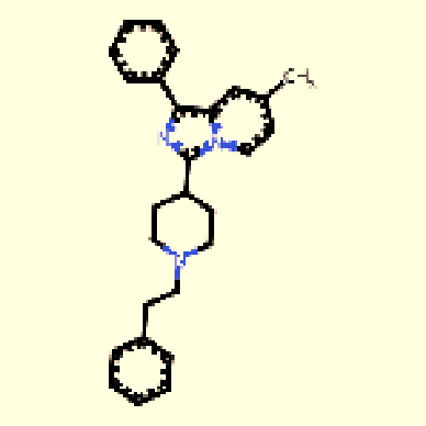 Cc1ccn2c(C3CCN(CCc4ccccc4)CC3)nc(-c3ccccc3)c2c1